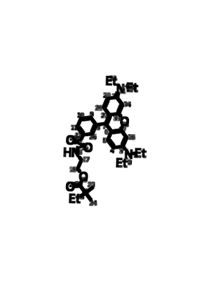 CCN(CC)c1ccc2c(-c3cccc(S(=O)(=O)NCCOC(=O)C(C)(C)CC)c3)c3ccc(=[N+](CC)CC)cc-3oc2c1